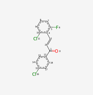 O=C(C=Cc1c(F)cccc1Cl)c1ccc(Cl)cc1